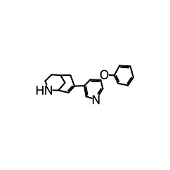 C1=C(c2cncc(Oc3ccccc3)c2)CC2CCNC1C2